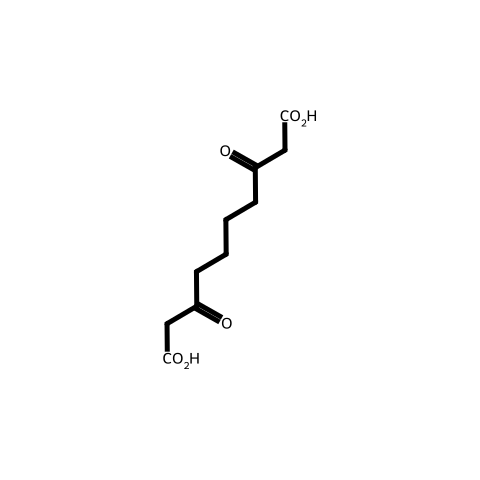 O=C(O)CC(=O)CCCCC(=O)CC(=O)O